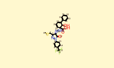 CSCC1=NN(c2ccc(C(F)(F)F)cc2)C(=O)/C1=N\NC1(C(=O)O)C=CC=C(c2ccccc2)C1O